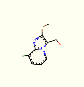 CSc1nc2c(Br)cccn2c1CO